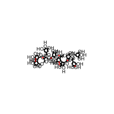 O=C(OC1C(O)OC2COC(=O)c3cc(Oc4c(C(=O)OC5C(O)OC6COC(=O)c7cc(O)c(O)c(O)c7-c7c(cc(O)c(O)c7O)C(=O)O[C@H]6[C@@H]5OC(=O)c5cc(O)c(O)c(O)c5)cc(O)c(O)c4O)c(O)c(O)c3-c3c(cc(O)c(O)c3O)C(=O)O[C@H]2[C@@H]1OC(=O)c1cc(O)c(O)c(O)c1)c1cc(O)c(O)c(O)c1